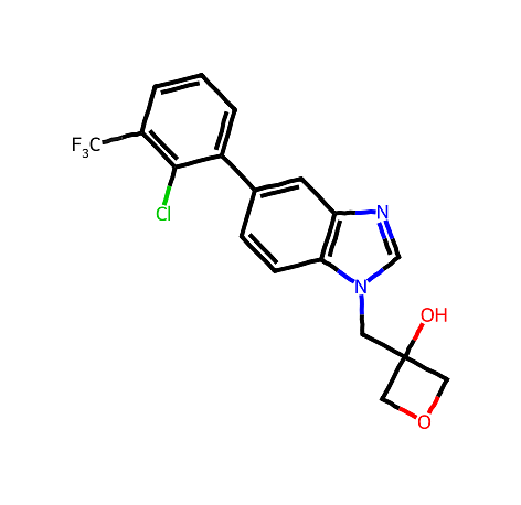 OC1(Cn2cnc3cc(-c4cccc(C(F)(F)F)c4Cl)ccc32)COC1